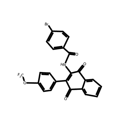 O=C(NC1=C(c2ccc(OC(F)(F)F)cc2)C(=O)c2ccccc2C1=O)c1ccc(Br)cc1